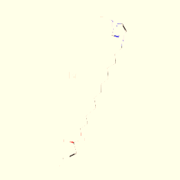 C=CC(=O)OCCCCCCCCCCCC[n+]1ccn(CC)c1.[Br-]